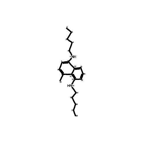 CCCCCNc1ccc(C)c2c(NCCCCC)cccc12